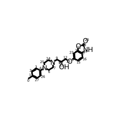 Cc1ccc(N2CCN(C[C@@H](O)COc3ccc4[nH]c(=O)oc4c3)CC2)cc1